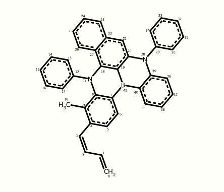 C=C/C=C\c1ccc2c(c1C)N(c1ccccc1)c1c3c(cc4ccccc14)N(c1ccccc1)c1ccccc1B23